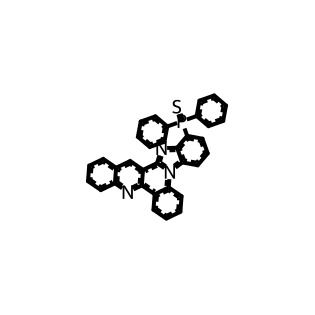 S=P(c1ccccc1)(c1ccccc1)c1cccc2c1nc1c3cc4ccccc4nc3c3ccccc3n21